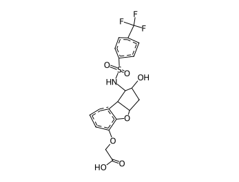 O=C(O)COc1cccc2c1OC1CC(O)C(NS(=O)(=O)c3ccc(C(F)(F)F)cc3)C21